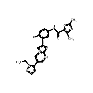 CCn1nccc1-c1cnc2nc(-c3cc(NC(=O)c4oc(C)nc4C)ccc3F)cn2c1